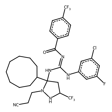 N#CCCN1NC(C(F)(F)F)CC1(N/C(=N\C(=O)c1ccc(C(F)(F)F)cc1)Nc1cc(F)cc(Cl)c1)C1CCCCCCCC1